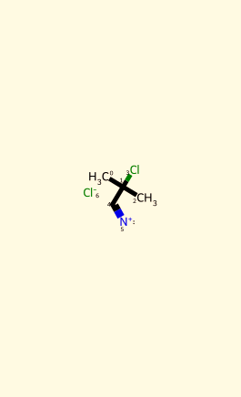 CC(C)(Cl)C=[N+].[Cl-]